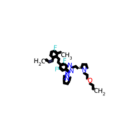 C=C/C=C\c1ccc(F)c(CC)c1CCc1c(F)cc2c(N3CC4CCC(C3)N4)nc(CC[C@@H]3CCCN3CCCOCCC=C)nc2c1F